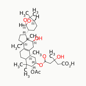 CC(=O)O[C@H]1[C@H](OC(=O)CC(C)(O)CC(=O)O)C[C@]2(C)C3=C(CCC2C1(C)C)[C@]1(C)CC[C@H](C2CC[C@@H]4O[C@H]2OC4(C)C)[C@@]1(C)[C@@H](O)C3